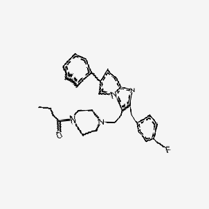 CCC(=O)N1CCN(Cc2c(-c3ccc(F)cc3)nc3ccc(-c4ccccc4)cn23)CC1